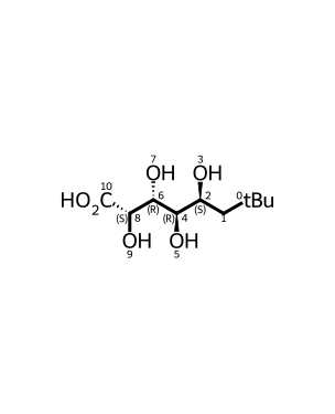 CC(C)(C)C[C@H](O)[C@@H](O)[C@@H](O)[C@H](O)C(=O)O